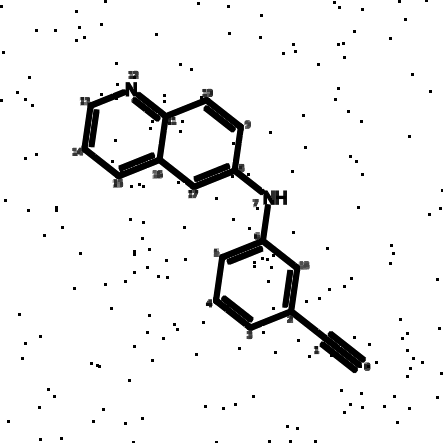 C#Cc1cccc(Nc2ccc3ncccc3c2)c1